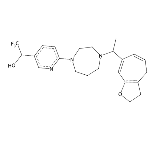 CC(C1=CC2=C(CC=C1)CCO2)N1CCCN(c2ccc(C(O)C(F)(F)F)cn2)CC1